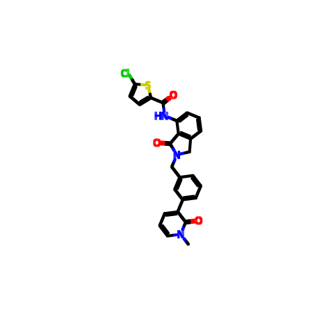 Cn1cccc(-c2cccc(CN3Cc4cccc(NC(=O)c5ccc(Cl)s5)c4C3=O)c2)c1=O